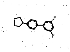 Fc1cc(F)cc(-c2ccc(C3CCCC3)cc2)c1